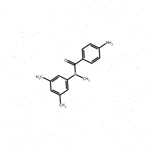 Cc1cc(C)cc(N(C)C(=O)c2ccc(N)cc2)c1